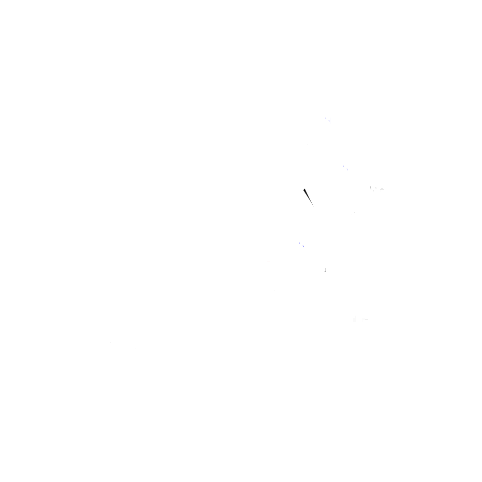 CCCCCc1cc(O)c(CC=C(C)CCC=C(C)C)c(O)c1C(=O)N[C@@H](Cc1c[nH]cn1)C(=O)OC